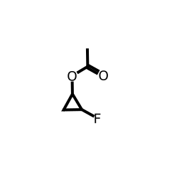 CC(=O)OC1CC1F